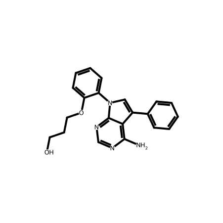 Nc1ncnc2c1c(-c1ccccc1)cn2-c1ccccc1OCCCO